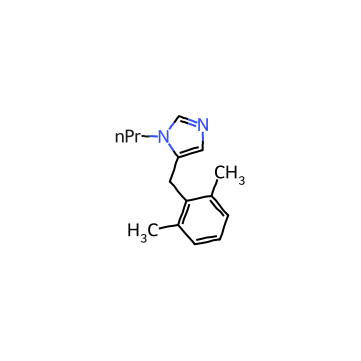 CCCn1cncc1Cc1c(C)cccc1C